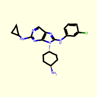 N[C@H]1CC[C@H](n2c(Nc3cccc(Cl)c3)nc3cnc(NC4CC4)nc32)CC1